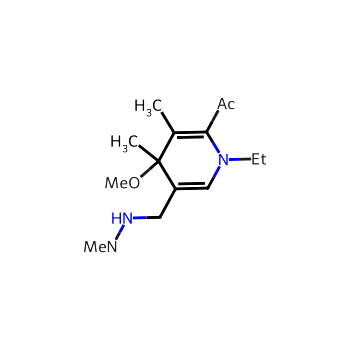 CCN1C=C(CNNC)C(C)(OC)C(C)=C1C(C)=O